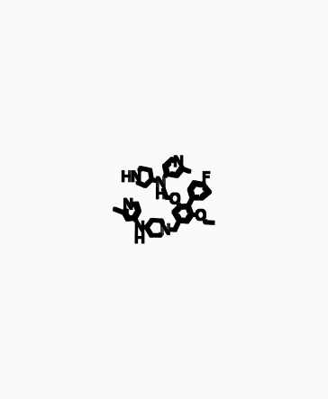 CCOc1cc(CN2CCC(Nc3ccnc(C)c3)CC2)cc(OCC)c1-c1ccc(F)cc1.Cc1cc(NC2CCNCC2)ccn1